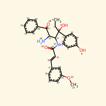 CCC(O)(c1ccc(O)cc1)C(NC(=O)C=Cc1cccc(OC)c1)C(N)C(=O)c1ccccc1